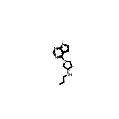 CCCN[C@@H]1CCN(c2ncnc3[nH]ccc23)C1